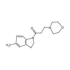 Cc1ccc2c(c1)CCN2C(=O)CCN1CCOCC1